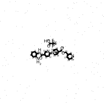 Nc1ccccc1NC(=O)c1ccc(N2CC3CCC2CN3C(=O)OCc2cccnc2)nc1.O=C(O)C(F)(F)F